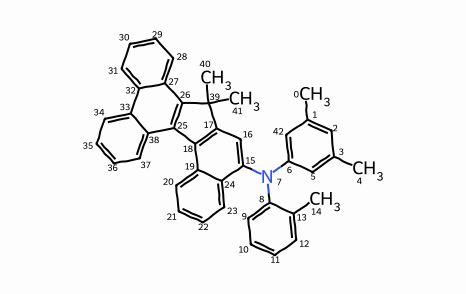 Cc1cc(C)cc(N(c2ccccc2C)c2cc3c(c4ccccc24)-c2c(c4ccccc4c4ccccc24)C3(C)C)c1